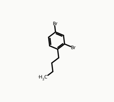 [CH2]CCCc1ccc(Br)cc1Br